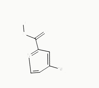 CCOC(=O)c1cc(N)ccn1